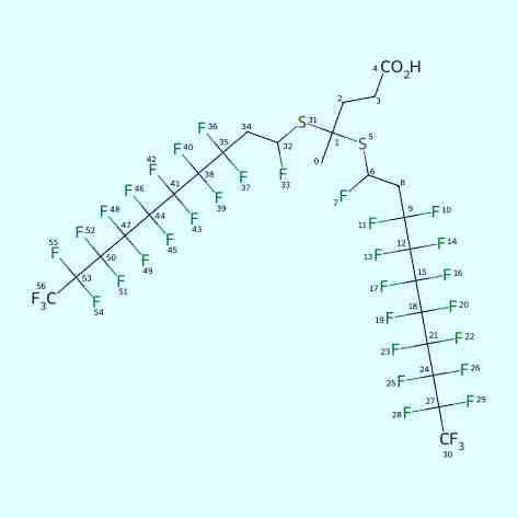 CC(CCC(=O)O)(SC(F)CC(F)(F)C(F)(F)C(F)(F)C(F)(F)C(F)(F)C(F)(F)C(F)(F)C(F)(F)F)SC(F)CC(F)(F)C(F)(F)C(F)(F)C(F)(F)C(F)(F)C(F)(F)C(F)(F)C(F)(F)F